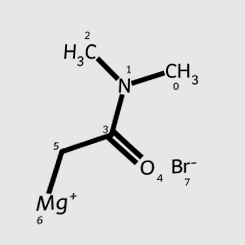 CN(C)C(=O)[CH2][Mg+].[Br-]